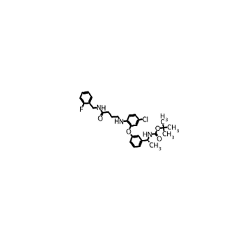 C[C@H](NC(=O)OC(C)(C)C)c1cccc(Oc2cc(Cl)ccc2NCCCC(=O)NCc2ccccc2F)c1